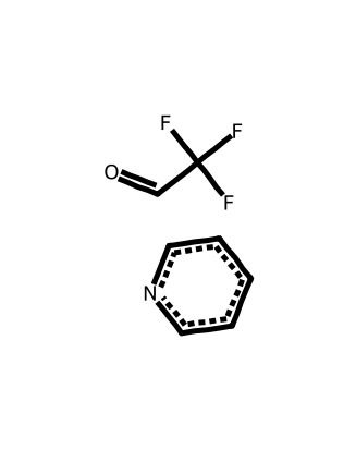 O=CC(F)(F)F.c1ccncc1